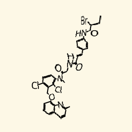 CCC(Br)C(=O)Nc1ccc(C=CC(=O)NCC(=O)N(C)c2ccc(Cl)c(COc3cccc4ccc(C)nc34)c2Cl)cc1